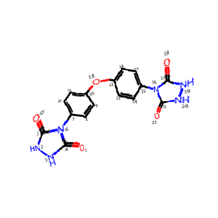 O=c1[nH][nH]c(=O)n1-c1ccc(Oc2ccc(-n3c(=O)[nH][nH]c3=O)cc2)cc1